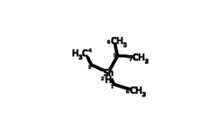 C[CH2][SnH]([CH2]C)[CH](C)C